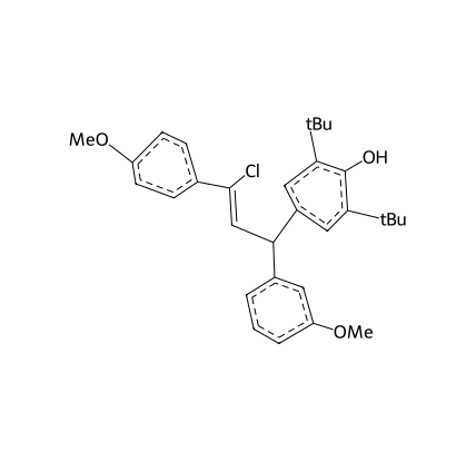 COc1ccc(C(Cl)=CC(c2cccc(OC)c2)c2cc(C(C)(C)C)c(O)c(C(C)(C)C)c2)cc1